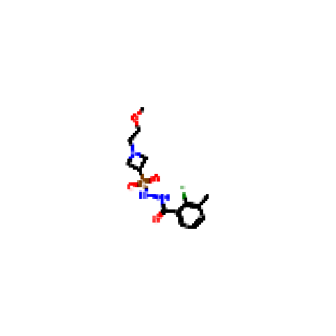 COCCN1CC(S(=O)(=O)NNC(=O)c2cccc(C)c2F)C1